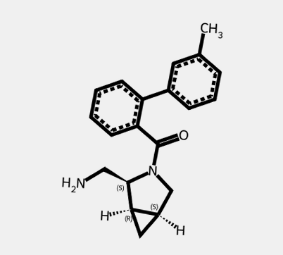 Cc1cccc(-c2ccccc2C(=O)N2C[C@H]3C[C@H]3[C@H]2CN)c1